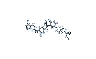 C=CC(=O)N1CCC2(CCN(c3ccc4ncnc(Nc5ccc(Oc6ccc7c(c6)nnn7C)c(C)c5)c4n3)C2)C1